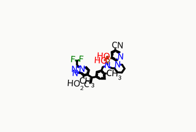 Cc1ccc(C(CC(=O)O)c2ccn3c(C(F)F)nnc3c2C)cc1CN1CC2CCCCN2c2ncc(C#N)cc2S1(O)O